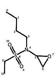 CCCCN(C1CO1)S(=O)(=O)CC